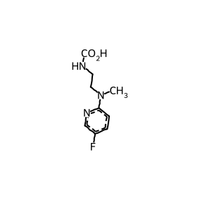 CN(CCNC(=O)O)c1ccc(F)cn1